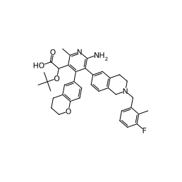 Cc1nc(N)c(-c2ccc3c(c2)CCN(Cc2cccc(F)c2C)C3)c(-c2ccc3c(c2)CCCO3)c1C(OC(C)(C)C)C(=O)O